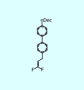 CCCCCCCCCCc1ccc(-c2ccc(CC=C(F)F)cc2)cc1